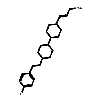 COC/C=C/C1CCC(C2CCC(CCc3ccc(F)cc3)CC2)CC1